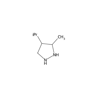 CC(C)C1CNNC1C